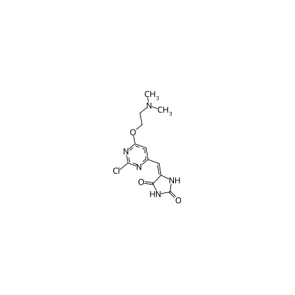 CN(C)CCOc1cc(C=C2NC(=O)NC2=O)nc(Cl)n1